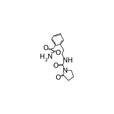 NS(=O)(=O)c1ccccc1CCNC(=O)N1CCCC1=O